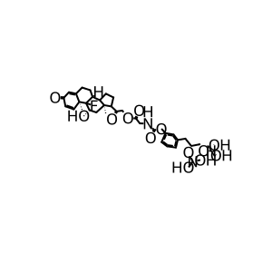 C[C@]12C[C@H](O)C3(F)[C@@H](CCC4=CC(=O)C=C[C@@]43C)C1CCC2C(=O)COC(=O)CNC(=O)Oc1cccc(CC(CON(O)O)ON(O)O)c1